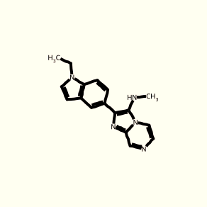 CCn1ccc2cc(-c3nc4cnccn4c3NC)ccc21